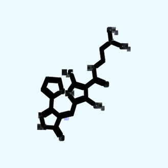 Cc1[nH]c(/C=C2/C(=O)NN=C2c2ccco2)c(C)c1C(=O)NCCN(C)C